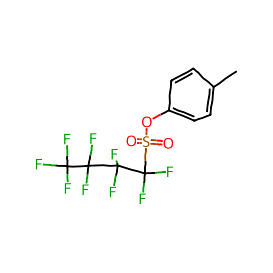 Cc1ccc(OS(=O)(=O)C(F)(F)C(F)(F)C(F)(F)C(F)(F)F)cc1